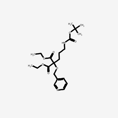 CCOC(=O)C(CCCNC(=O)OC(C)(C)C)(OCc1cccnc1)C(=O)OCC